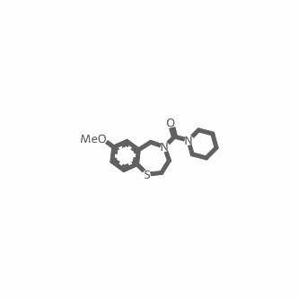 COc1ccc2c(c1)CN(C(=O)N1CCCCC1)CCS2